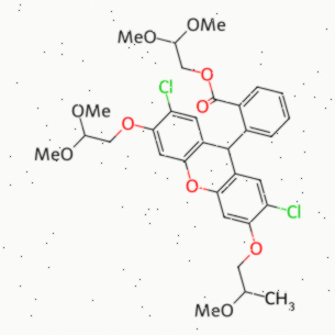 COC(C)COc1cc2c(cc1Cl)C(c1ccccc1C(=O)OCC(OC)OC)c1cc(Cl)c(OCC(OC)OC)cc1O2